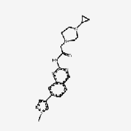 Cn1cc(-c2ccc3cnc(NC(=O)CN4CCN(C5CC5)CC4)nc3c2)cn1